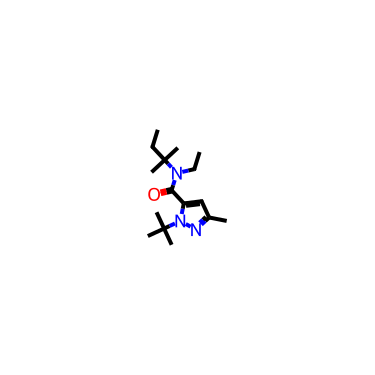 CCN(C(=O)c1cc(C)nn1C(C)(C)C)C(C)(C)CC